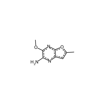 COc1nc2oc(C)cc2nc1N